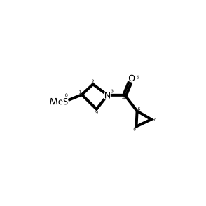 CSC1CN(C(=O)C2CC2)C1